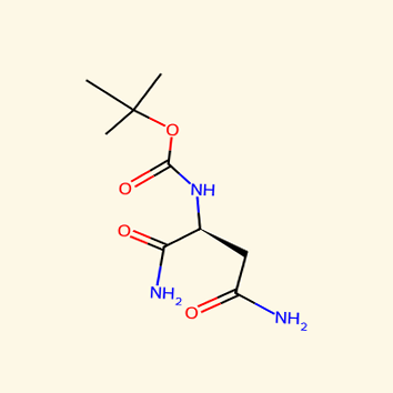 CC(C)(C)OC(=O)N[C@@H](CC(N)=O)C(N)=O